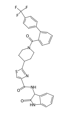 O=C(NC1C(=O)Nc2ccccc21)c1csc(C2CCN(C(=O)c3ccccc3-c3ccc(C(F)(F)F)cc3)CC2)n1